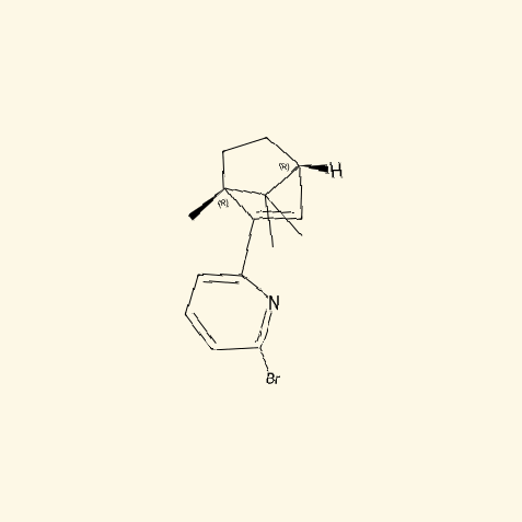 CC1(C)[C@H]2C=C(c3cccc(Br)n3)[C@]1(C)CC2